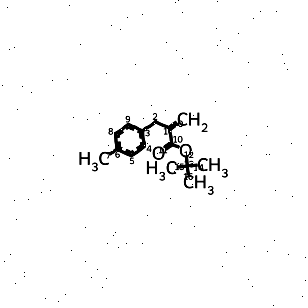 C=C(Cc1ccc(C)cc1)C(=O)OC(C)(C)C